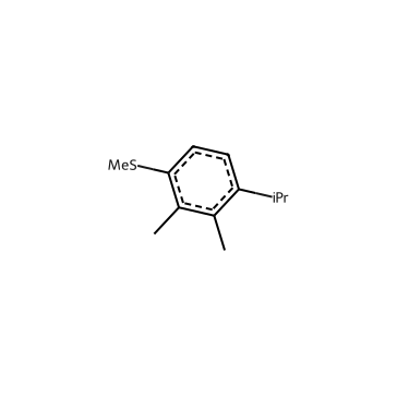 CSc1ccc(C(C)C)c(C)c1C